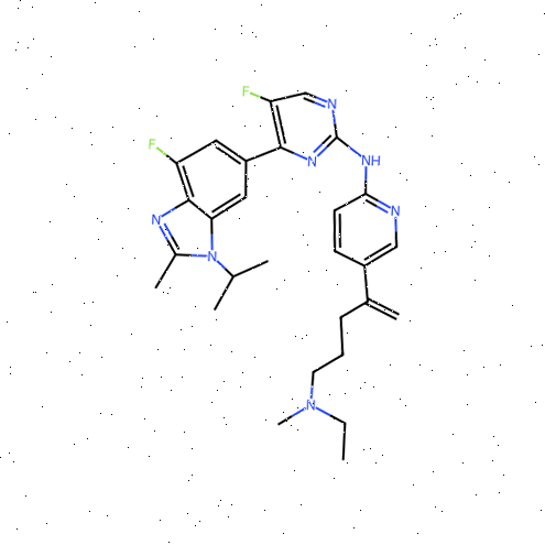 C=C(CCCN(C)CC)c1ccc(Nc2ncc(F)c(-c3cc(F)c4nc(C)n(C(C)C)c4c3)n2)nc1